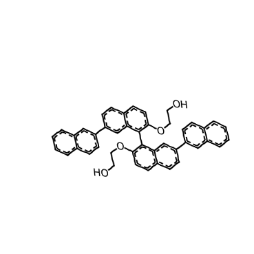 OCCOc1ccc2ccc(-c3ccc4ccccc4c3)cc2c1-c1c(OCCO)ccc2ccc(-c3ccc4ccccc4c3)cc12